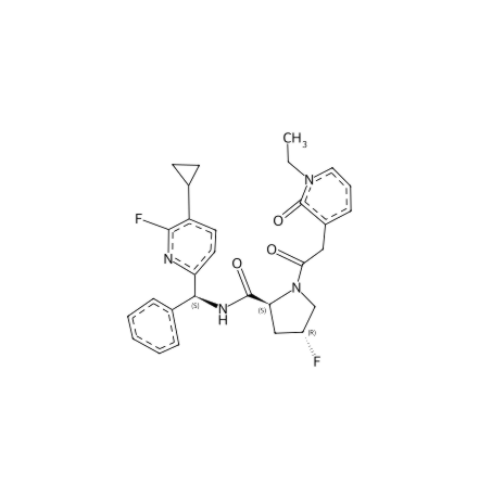 CCn1cccc(CC(=O)N2C[C@H](F)C[C@H]2C(=O)N[C@@H](c2ccccc2)c2ccc(C3CC3)c(F)n2)c1=O